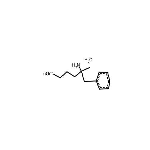 CCCCCCCCCCCC(C)(N)Cc1ccccc1.O